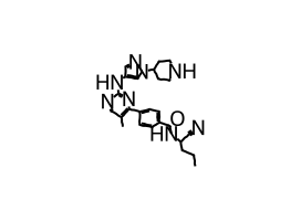 CCCC(C#N)NC(=O)c1ccc(-c2nc(Nc3cnn(C4CCNCC4)c3)ncc2C)cc1